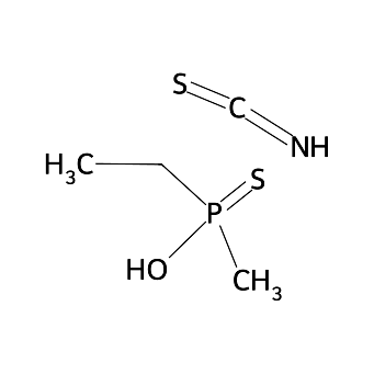 CCP(C)(O)=S.N=C=S